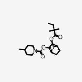 CCC(C)(C)C(=O)OC1C2CCC(O2)C1OC(=O)N1CCC(C)CC1